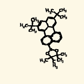 CC(C)(C)C1=CC2C=C(C(C)(C)C)C=C3c4ccc(B5OC(C)(C)C(C)(C)O5)c5cccc(c45)C(=C1)C32